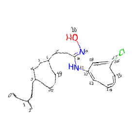 CC(C)C1CCC(C/C(=N\O)Nc2cccc(Cl)c2)CC1